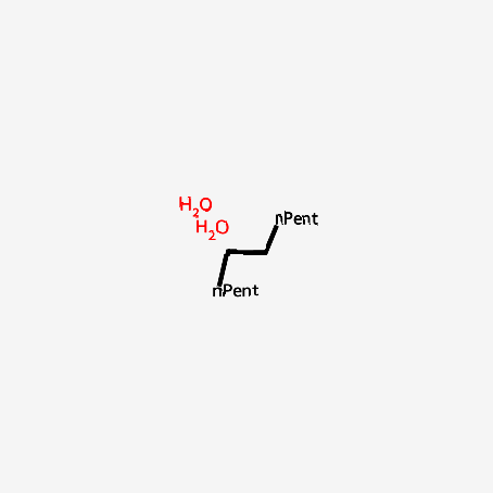 CCCCCCCCCCCC.O.O